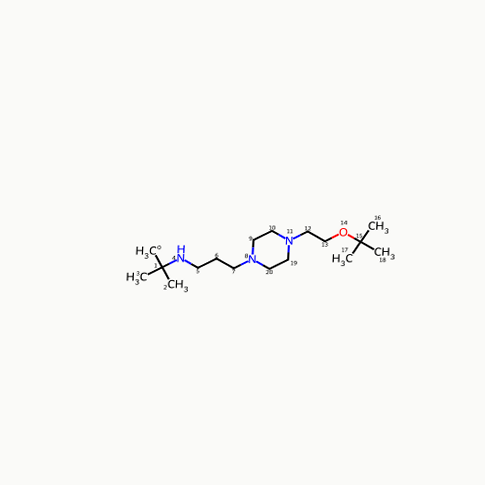 CC(C)(C)NCCCN1CCN(CCOC(C)(C)C)CC1